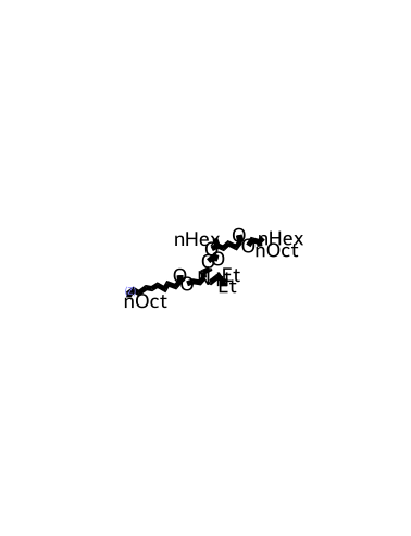 CCCCCCCC/C=C\CCCCCCCC(=O)OCCN(CCOC(=O)OC(CCCCCC)CCCC(=O)OCC(CCCCCC)CCCCCCCC)CCN(CC)CC